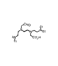 CCNCCN(CC=O)CCN(CCN(CC)CC)CC(=O)O